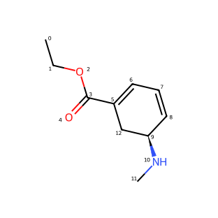 CCOC(=O)C1=CC=C[C@@H](NC)C1